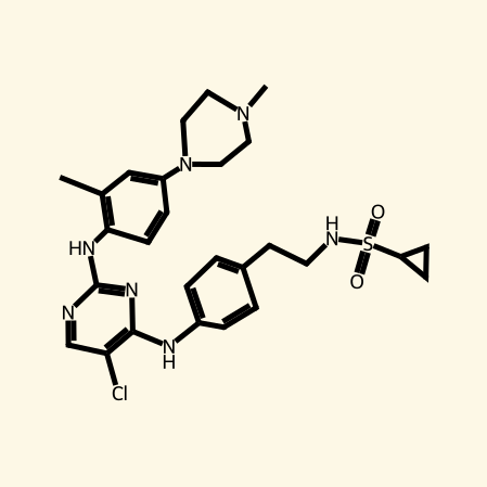 Cc1cc(N2CCN(C)CC2)ccc1Nc1ncc(Cl)c(Nc2ccc(CCNS(=O)(=O)C3CC3)cc2)n1